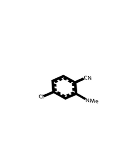 CNc1cc(Cl)ccc1C#N